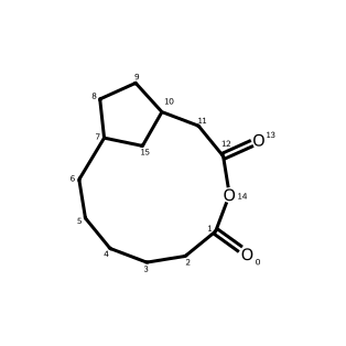 O=C1CCCCCC2CCC(CC(=O)O1)C2